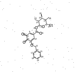 CCC1O[C@@H](OC(=O)C2=CC(=O)C(=O)C(OCc3ccccc3)=C2)C(C)[C@@H](C)C1C